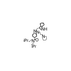 CC(C)CCN(CCC(C)C)C(=O)c1ccc2nc(Cc3c[nH]c4ccccc34)n(CCCN3CCCCC3)c2c1